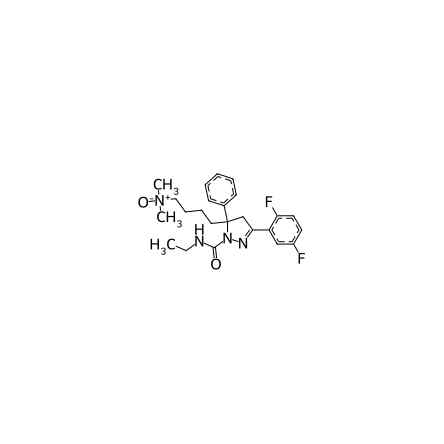 CCNC(=O)N1N=C(c2cc(F)ccc2F)CC1(CCCC[N+](C)(C)[O-])c1ccccc1